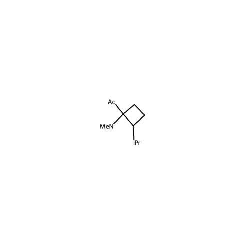 CNC1(C(C)=O)CCC1C(C)C